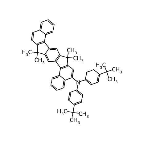 CC(C)(C)C1=CC=C(N(c2ccc(C(C)(C)C)cc2)c2cc3c(c4ccccc24)-c2cc4c(cc2C3(C)C)-c2c(ccc3ccccc23)C4(C)C)CC1